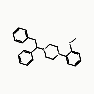 COc1ccccc1N1CCN(C(Cc2ccccc2)c2ccccc2)CC1